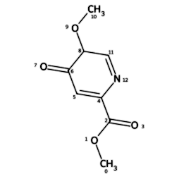 COC(=O)C1=CC(=O)C(OC)C=N1